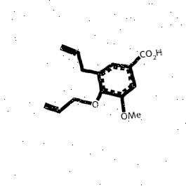 C=CCOc1c(CC=C)cc(C(=O)O)cc1OC